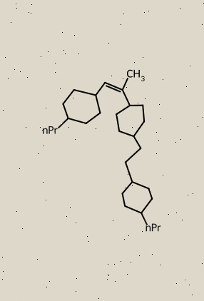 CCCC1CCC(C=C(C)C2CCC(CCC3CCC(CCC)CC3)CC2)CC1